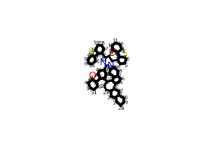 CC[C@@H]1C(c2cccc3sc4ccccc4c23)=NC(c2cc(C3CCc4cc5ccccc5cc4-c4ccc5ccccc5c43)c3c(c2)oc2ccccc23)=NC1c1cccc2sc3ccccc3c12